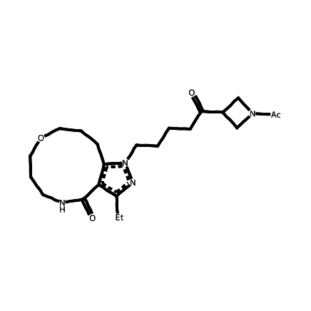 CCc1nn(CCCCC(=O)C2CN(C(C)=O)C2)c2c1C(=O)NCCCOCCC2